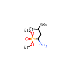 CCCCC(CC)CC(N)P(=O)(OCC)OCC